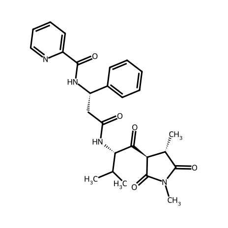 CC(C)[C@H](NC(=O)C[C@H](NC(=O)c1ccccn1)c1ccccc1)C(=O)[C@@H]1C(=O)N(C)C(=O)[C@H]1C